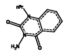 CCCn1c(=O)n(N)c(=O)c2ccccc21